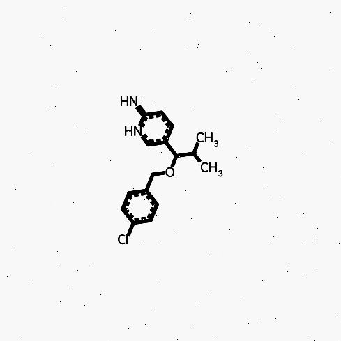 CC(C)C(OCc1ccc(Cl)cc1)c1ccc(=N)[nH]c1